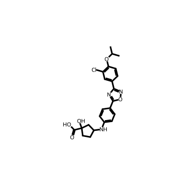 CC(C)Oc1ccc(-c2noc(-c3ccc(NC4CCC(O)(C(=O)O)C4)cc3)n2)cc1Cl